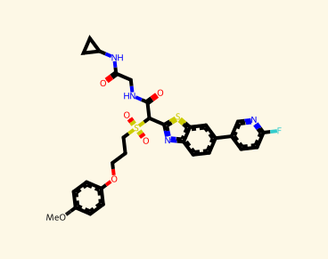 COc1ccc(OCCCS(=O)(=O)C(C(=O)NCC(=O)NC2CC2)c2nc3ccc(-c4ccc(F)nc4)cc3s2)cc1